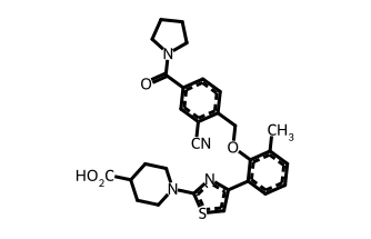 Cc1cccc(-c2csc(N3CCC(C(=O)O)CC3)n2)c1OCc1ccc(C(=O)N2CCCC2)cc1C#N